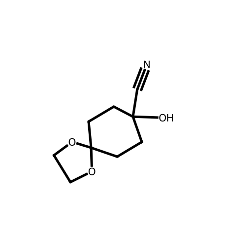 N#CC1(O)CCC2(CC1)OCCO2